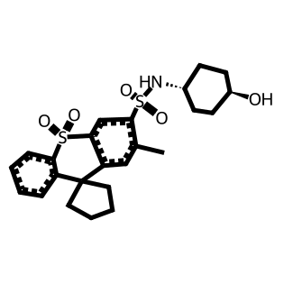 Cc1cc2c(cc1S(=O)(=O)N[C@H]1CC[C@H](O)CC1)S(=O)(=O)c1ccccc1C21CCCC1